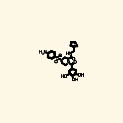 Nc1ccc(S(=O)(=O)N2CCN(C(=O)c3cc(O)c(O)c(O)c3)C(C(=O)NCc3cccs3)C2)cc1